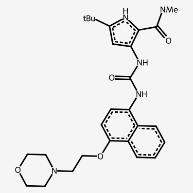 CNC(=O)c1[nH]c(C(C)(C)C)cc1NC(=O)Nc1ccc(OCCN2CCOCC2)c2ccccc12